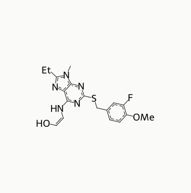 CCc1nc2c(N/C=C\O)nc(SCc3ccc(OC)c(F)c3)nc2n1C